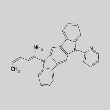 C/C=C\C=C(/N)n1c2ccccc2c2cc3c(cc21)c1ccccc1n3-c1ccccn1